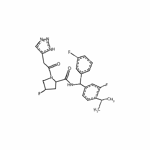 CC(C)c1ccc(C(NC(=O)C2CC(F)CN2C(=O)Cc2cnn[nH]2)c2cccc(F)c2)cc1F